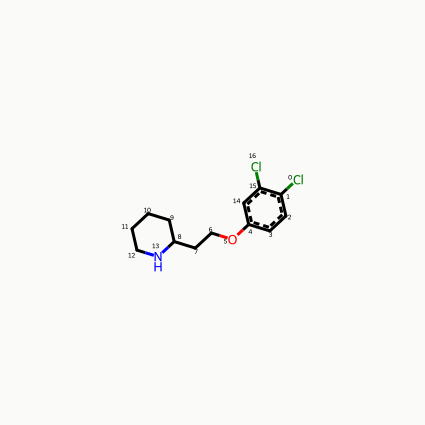 Clc1ccc(OCCC2CCCCN2)cc1Cl